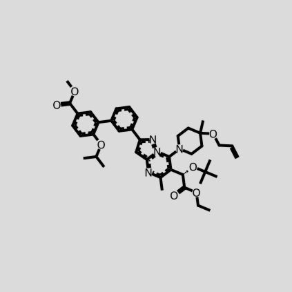 C=CCOC1(C)CCN(c2c([C@H](OC(C)(C)C)C(=O)OCC)c(C)nc3cc(-c4cccc(-c5cc(C(=O)OC)ccc5OC(C)C)c4)nn23)CC1